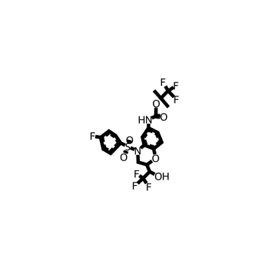 CC(C)(OC(=O)Nc1ccc2c(c1)N(S(=O)(=O)c1ccc(F)cc1)CC(C(O)C(F)(F)F)O2)C(F)(F)F